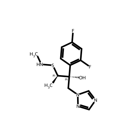 CNS[C@H](C)[C@](O)(Cn1cncn1)c1ccc(F)cc1F